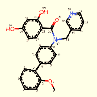 COc1ccccc1-c1ccc(N(Cc2cccnc2)C(=O)c2ccc(O)cc2O)cc1